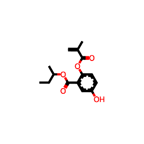 C=C(C)C(=O)Oc1ccc(O)cc1C(=O)OC(C)CC